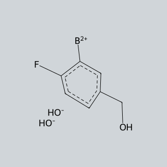 [B+2]c1cc(CO)ccc1F.[OH-].[OH-]